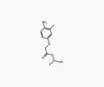 CCCC(F)OC(=O)COc1ccc(N)c(C)c1